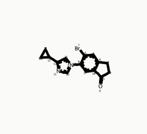 O=C1CCc2cc(Br)c(-n3cnc(C4CC4)c3)cc21